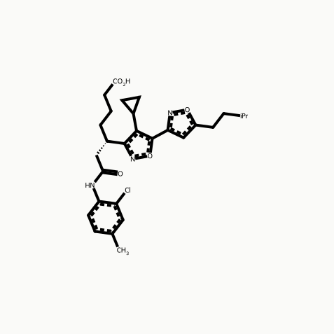 Cc1ccc(NC(=O)C[C@H](CCCC(=O)O)c2noc(-c3cc(CCC(C)C)on3)c2C2CC2)c(Cl)c1